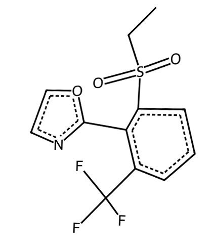 CCS(=O)(=O)c1cccc(C(F)(F)F)c1-c1ncco1